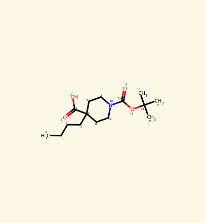 CCCCC1(C(=O)O)CCN(C(=O)OC(C)(C)C)CC1